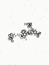 CN(CCCCCC(=O)ON1C(=O)CCC1=O)c1ccc(N=NCSc2cc([N+](=O)[O-])ccc2NCCCS(=O)(=O)O)c2ncccc12